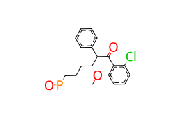 COc1cccc(Cl)c1C(=O)C(CCCCP=O)c1ccccc1